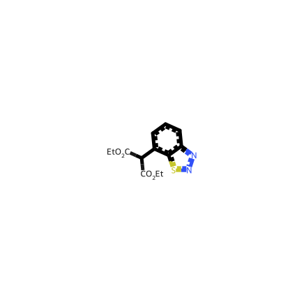 CCOC(=O)C(C(=O)OCC)c1cccc2nnsc12